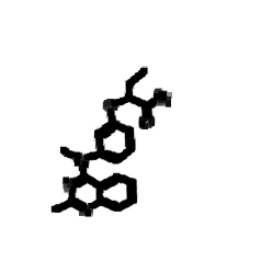 CCC(Oc1cccc(N(C)c2nc(C)nc3ccccc23)c1)C(=O)O